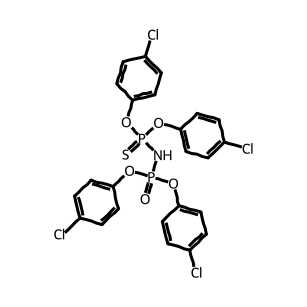 O=P(NP(=S)(Oc1ccc(Cl)cc1)Oc1ccc(Cl)cc1)(Oc1ccc(Cl)cc1)Oc1ccc(Cl)cc1